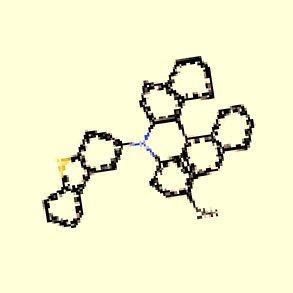 COc1ccc(N(c2ccc3sc4ccccc4c3c2)c2ccc3ccccc3c2-c2cccc3ccccc23)cc1